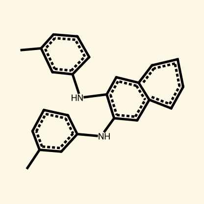 Cc1cccc(Nc2cc3ccccc3cc2Nc2cccc(C)c2)c1